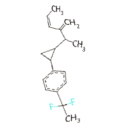 C=C(/C=C\C)C(C)C1CC1c1ccc(C(C)(F)F)cc1